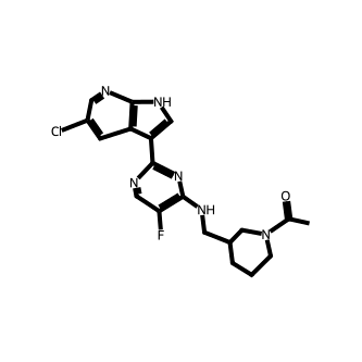 CC(=O)N1CCCC(CNc2nc(-c3c[nH]c4ncc(Cl)cc34)ncc2F)C1